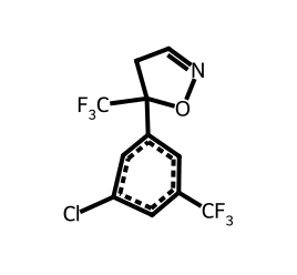 FC(F)(F)c1cc(Cl)cc(C2(C(F)(F)F)CC=NO2)c1